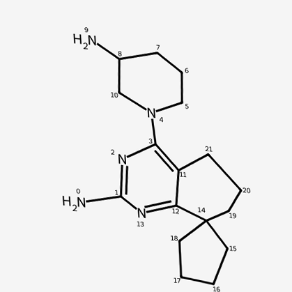 Nc1nc(N2CCCC(N)C2)c2c(n1)C1(CCCC1)CCC2